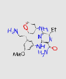 CCc1nc(C(N)=O)c(Nc2cc(CCN)cc(OC)c2)nc1NC1CCOCC1